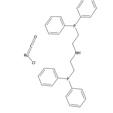 O=[C]=[Ru][Cl].c1ccc(P(CCNCCP(c2ccccc2)c2ccccc2)c2ccccc2)cc1